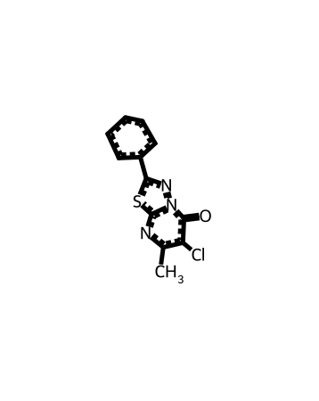 Cc1nc2sc(-c3ccccc3)nn2c(=O)c1Cl